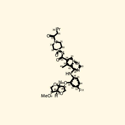 CO[C@@H]1CO[C@H]2[C@@H]1OC[C@H]2Oc1cc(F)ccc1Nc1ncnn2cc(C(=O)N=S3(=O)CCN(C(=O)CC(C)C)CC3)c(C)c12